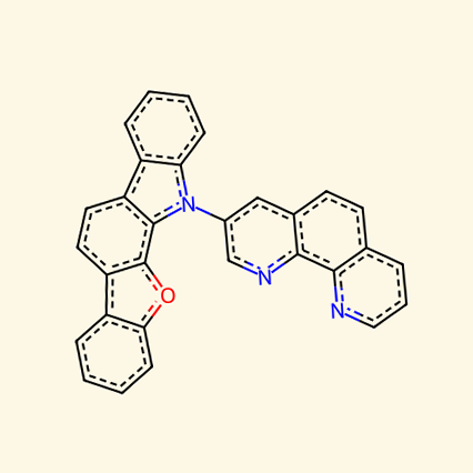 c1cnc2c(c1)ccc1cc(-n3c4ccccc4c4ccc5c6ccccc6oc5c43)cnc12